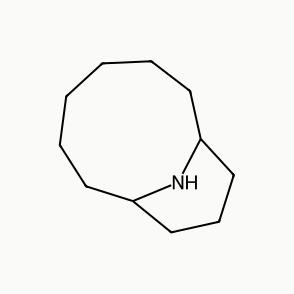 C1CCCC2CCCC(CC1)N2